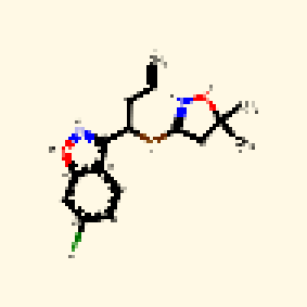 C=CCC(SC1=NOC(C)(C)C1)c1noc2cc(F)ccc12